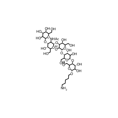 CC(=O)NC1[C@H](O[C@@H]2C(O)[C@@H](O[C@H]3C(CO)O[C@@H](O[C@@H]4C(CO)O[C@@H](OCCCCCN)C(O)[C@H]4O)C(O)[C@H]3O)OC(CO)[C@@H]2O)OC(CO)[C@H](O)[C@@H]1O[C@@H]1OC(CO)[C@H](O)[C@H](O)C1O